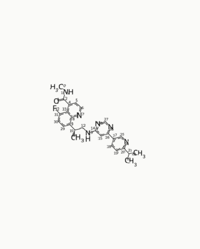 CNC(=O)c1ccnc2c([C@H](C)CNc3cc(-c4ccc(C(C)C)nc4)ncn3)ccc(F)c12